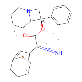 N=[N+]=C(C(=O)O[C@]1(c2ccccc2)CN2CCCCC21)c1cc2sc1CCC2